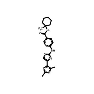 Cc1nc(C)c(-c2csc(Nc3ccc(C(=O)NC4(C(F)(F)F)CCCCC4)cn3)n2)s1